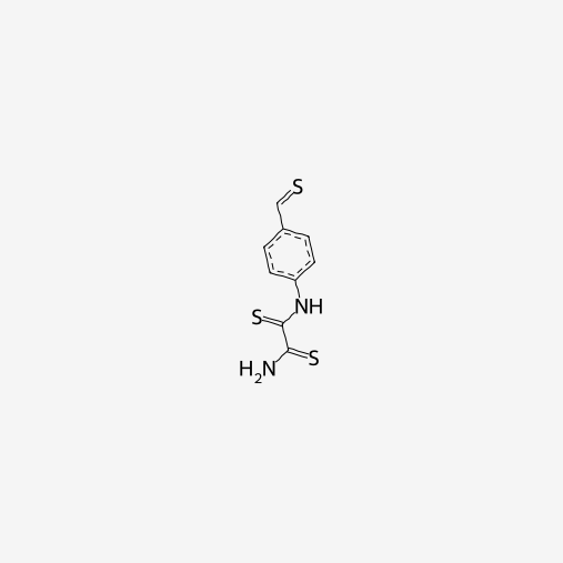 NC(=S)C(=S)Nc1ccc(C=S)cc1